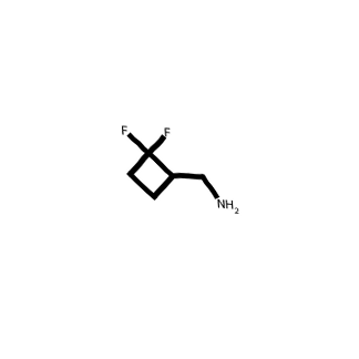 NCC1CCC1(F)F